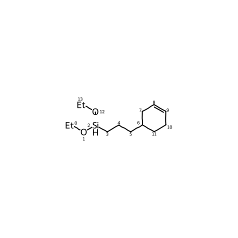 CCO[SiH](CCCC1CC=CCC1)OCC